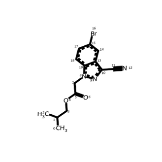 CC(C)COC(=O)Cn1nc(C#N)c2cc(Br)ccc21